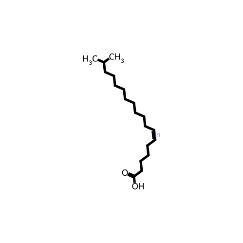 CC(C)CCCCCCCCC/C=C\CCCCC(=O)O